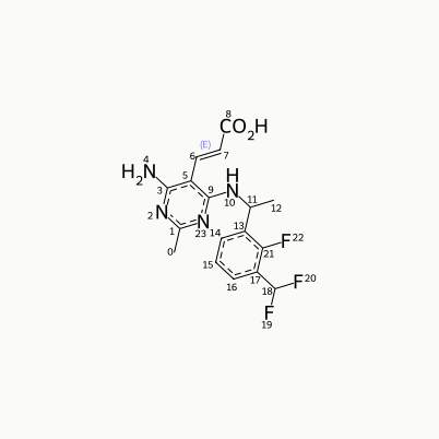 Cc1nc(N)c(/C=C/C(=O)O)c(NC(C)c2cccc(C(F)F)c2F)n1